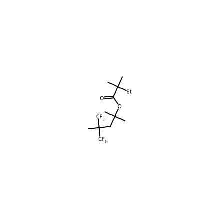 CCC(C)(C)C(=O)OC(C)(C)CC(C)(C(F)(F)F)C(F)(F)F